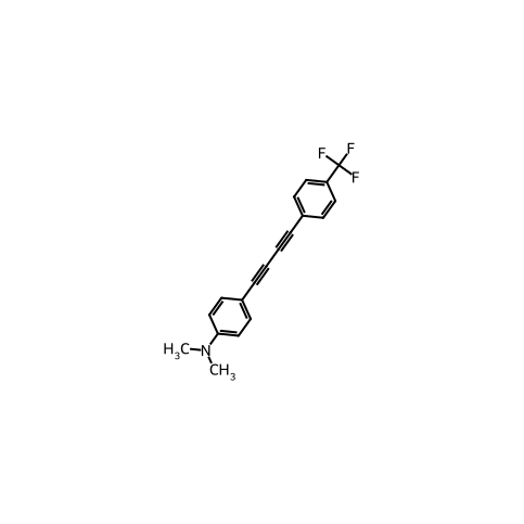 CN(C)c1ccc(C#CC#Cc2ccc(C(F)(F)F)cc2)cc1